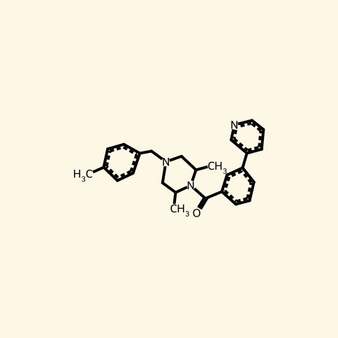 Cc1ccc(CN2CC(C)N(C(=O)c3cccc(-c4cccnc4)c3)C(C)C2)cc1